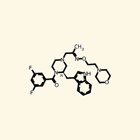 CC(CN1CCN(C(=O)c2cc(F)cc(F)c2)[C@H](Cc2c[nH]c3ccccc23)C1)=NOCCN1CCOCC1